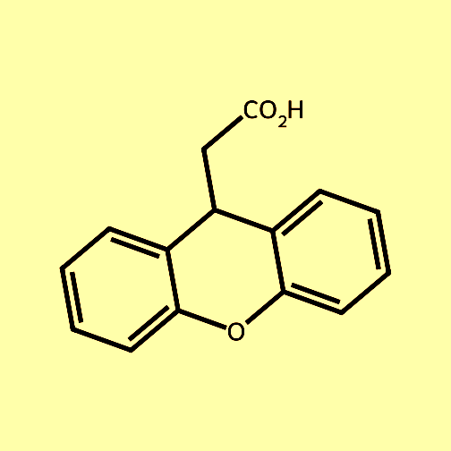 O=C(O)CC1c2ccccc2Oc2ccccc21